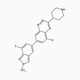 Cn1cc2cc(-c3cc(F)c4nc(C5CCNCC5)nnc4c3)cc(F)c2n1